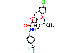 CC(C)COc1ccc(Cl)cc1Cc1ccc(C(=O)NCc2ccc(C(F)(F)F)cc2)o1